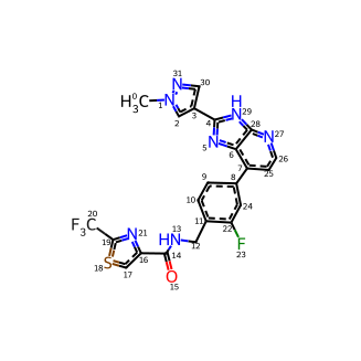 Cn1cc(-c2nc3c(-c4ccc(CNC(=O)c5csc(C(F)(F)F)n5)c(F)c4)ccnc3[nH]2)cn1